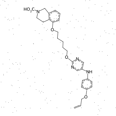 C=CCOc1ccc(Nc2cnc(OCCCCCOc3cccc4c3CCN(C(=O)O)C4)nc2)cc1